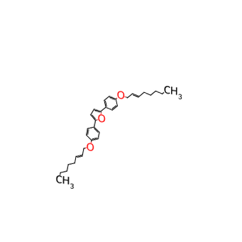 CCCCCC=CCOc1ccc(-c2ccc(-c3ccc(OCC=CCCCCC)cc3)o2)cc1